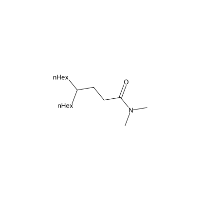 CCCCCCC(CCCCCC)CCC(=O)N(C)C